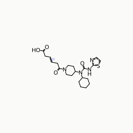 O=C(O)C/C=C/CC(=O)N1CCC(N(C(=O)Nc2nccs2)C2CCCCC2)CC1